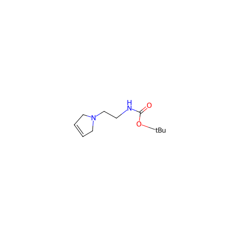 CC(C)(C)OC(=O)NCCN1CC=CC1